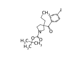 CCCC1(C(=O)c2ccc(I)cc2)CCN(C(=O)OC(C)(C)C)C1